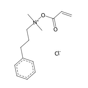 C=CC(=O)O[N+](C)(C)CCCc1ccccc1.[Cl-]